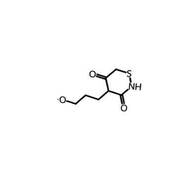 [O]CCCC1C(=O)CSNC1=O